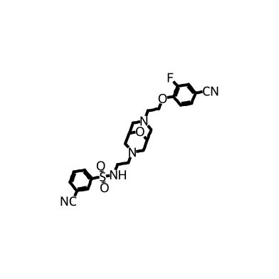 N#Cc1cccc(S(=O)(=O)NCCN2CC3CN(CCOc4ccc(C#N)cc4F)CC(C2)O3)c1